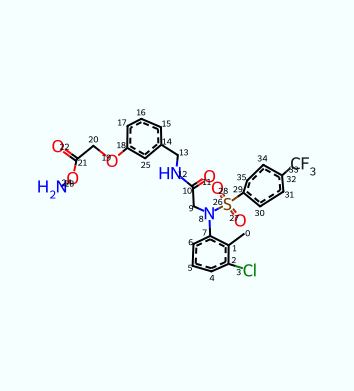 Cc1c(Cl)cccc1N(CC(=O)NCc1cccc(OCC(=O)ON)c1)S(=O)(=O)c1ccc(C(F)(F)F)cc1